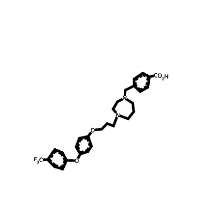 O=C(O)c1ccc(CN2CCCN(CCCOc3ccc(Oc4ccc(C(F)(F)F)cc4)cc3)CC2)cc1